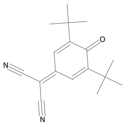 CC(C)(C)C1=CC(=C(C#N)C#N)C=C(C(C)(C)C)C1=O